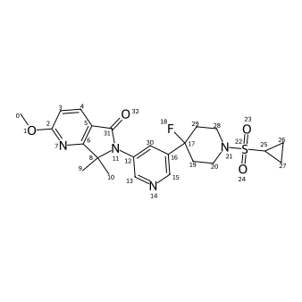 COc1ccc2c(n1)C(C)(C)N(c1cncc(C3(F)CCN(S(=O)(=O)C4CC4)CC3)c1)C2=O